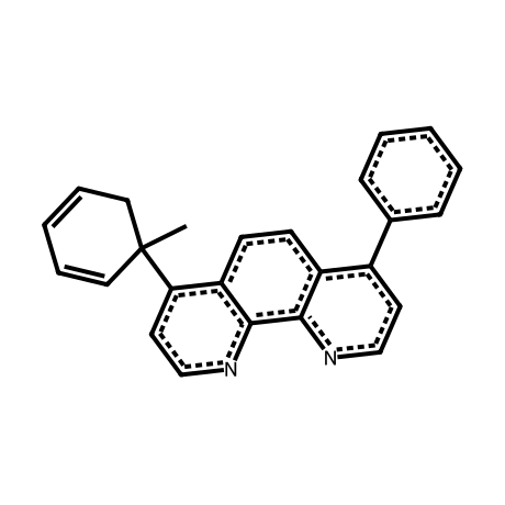 CC1(c2ccnc3c2ccc2c(-c4ccccc4)ccnc23)C=CC=CC1